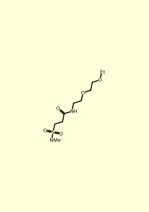 CCOCCOCCNC(=O)CCS(=O)(=O)NC